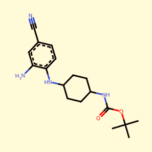 CC(C)(C)OC(=O)NC1CCC(Nc2ccc(C#N)cc2N)CC1